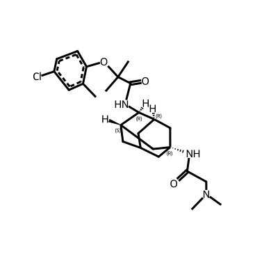 Cc1cc(Cl)ccc1OC(C)(C)C(=O)N[C@H]1[C@@H]2CC3C[C@H]1C[C@](NC(=O)CN(C)C)(C3)C2